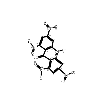 O=C(c1ccc([N+](=O)[O-])cc1[N+](=O)[O-])c1c([N+](=O)[O-])cc([N+](=O)[O-])cc1[N+](=O)[O-]